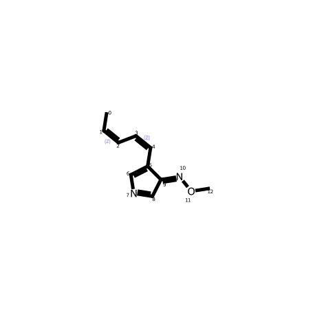 C/C=C\C=C/C1=CN=CC1=NOC